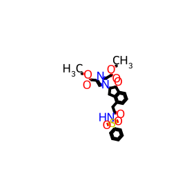 CCOC(=O)c1cn(C2Cc3c(CC(=O)NS(=O)(=O)c4ccccc4)cccc3C2=O)c(C(=O)OCC)n1